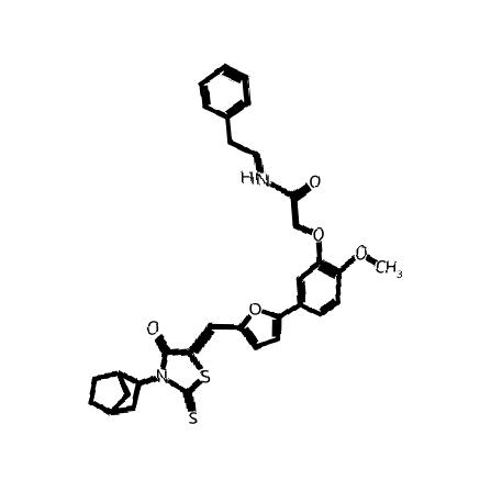 COc1ccc(-c2ccc(/C=C3\SC(=S)N(C4CC5CCC4C5)C3=O)o2)cc1OCC(=O)NCCc1ccccc1